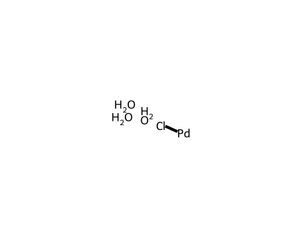 O.O.O.[Cl][Pd]